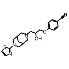 N#Cc1ccc(OCC(O)CN2CC3CC(C2)CN(c2nccs2)C3)cc1